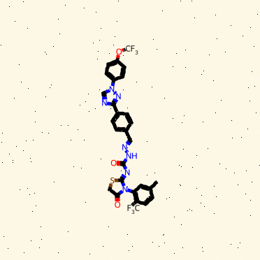 Cc1ccc(C(F)(F)F)c(N2C(=O)CS/C2=N\C(=O)N/N=C/c2ccc(-c3ncn(-c4ccc(OC(F)(F)F)cc4)n3)cc2)c1